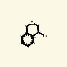 FC1COCc2ccccc21